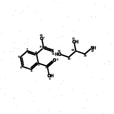 O=C(O)c1ccccc1[N+]([O-])=S.OCC(O)CS